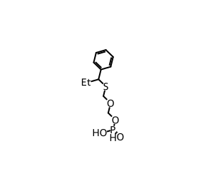 CCC(SCOCO[PH](=O)O)c1ccccc1